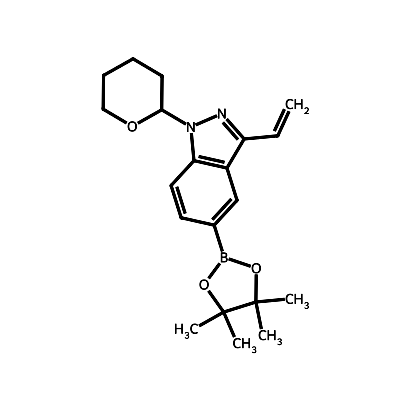 C=Cc1nn(C2CCCCO2)c2ccc(B3OC(C)(C)C(C)(C)O3)cc12